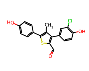 Cc1c(-c2ccc(O)cc2)sc(C=O)c1-c1ccc(O)c(Cl)c1